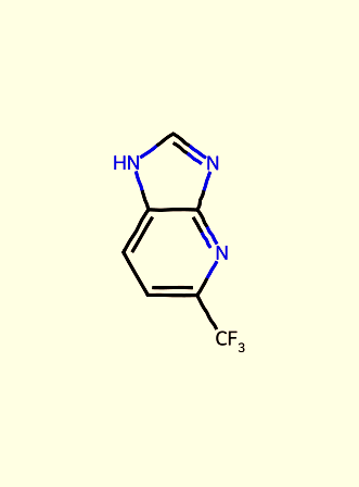 FC(F)(F)c1ccc2[nH]cnc2n1